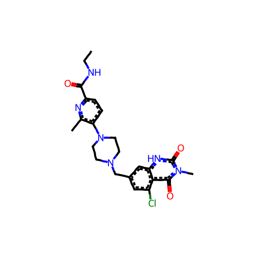 CCNC(=O)c1ccc(N2CCN(Cc3cc(Cl)c4c(=O)n(C)c(=O)[nH]c4c3)CC2)c(C)n1